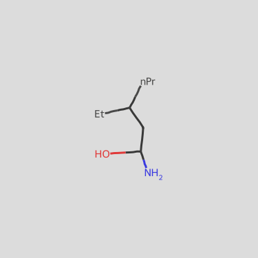 CCCC(CC)CC(N)O